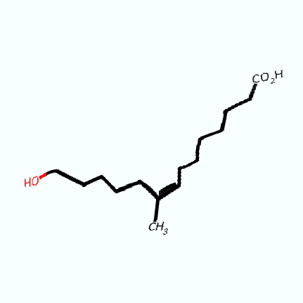 CC(=CCCCCCCC(=O)O)CCCCCO